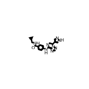 O=C(NCC1CC1)c1ccc(Nc2ncc(-c3cn[nH]c3)n3ncnc23)cc1